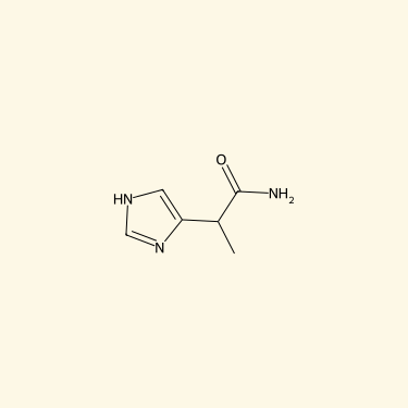 CC(C(N)=O)c1c[nH]cn1